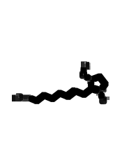 CCCCCCCCCCCCCCC=CCC1=[N+]([O-])CCN1OCC